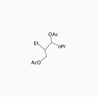 CCCC(OC(C)=O)C(CC)COC(C)=O